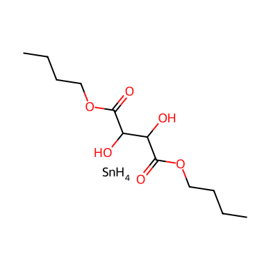 CCCCOC(=O)C(O)C(O)C(=O)OCCCC.[SnH4]